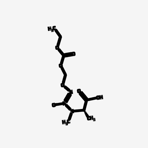 CCOC(=O)OCON=[N+]([O-])N(C)[C@@H](C)C(=O)O